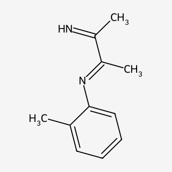 CC(=N)/C(C)=N/c1ccccc1C